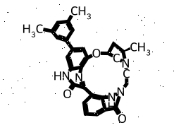 Cc1cc(C)cc(-c2cc3c4nc(c(=O)[nH]c4c2)-c2cccc4c(=O)n([nH]c24)CCN2CC(C[C@H]2C)O3)c1